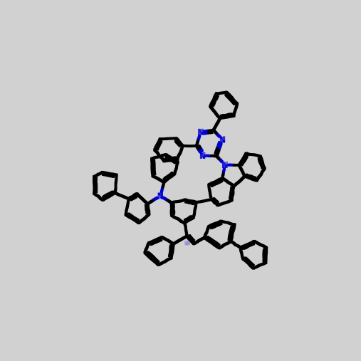 C(=C(\c1ccccc1)c1cc(-c2ccc3c4ccccc4n(-c4nc(-c5ccccc5)nc(-c5ccccc5)n4)c3c2)cc(N(c2ccccc2)c2cccc(-c3ccccc3)c2)c1)/c1cccc(-c2ccccc2)c1